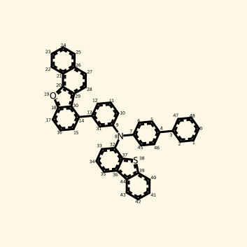 c1ccc(-c2ccc(N(c3cccc(-c4cccc5oc6c7ccccc7ccc6c45)c3)c3cccc4c3sc3ccccc34)cc2)cc1